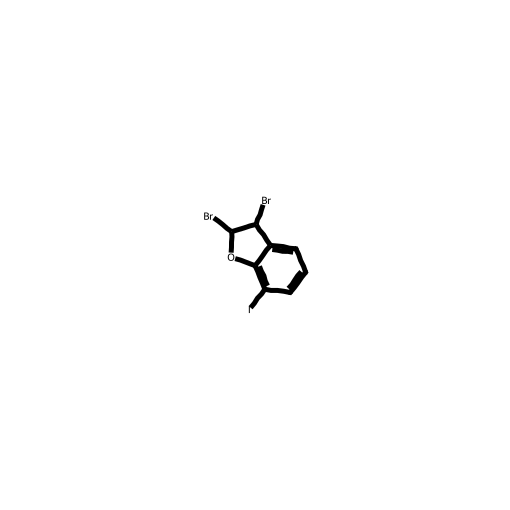 BrC1Oc2c(I)cccc2C1Br